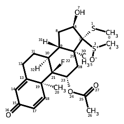 CS[C@@]1([S+](C)[O-])[C@H](O)C[C@H]2[C@@H]3CCC4=CC(=O)C=C[C@]4(C)[C@@]3(F)[C@@H](OC(C)=O)C[C@@]21C